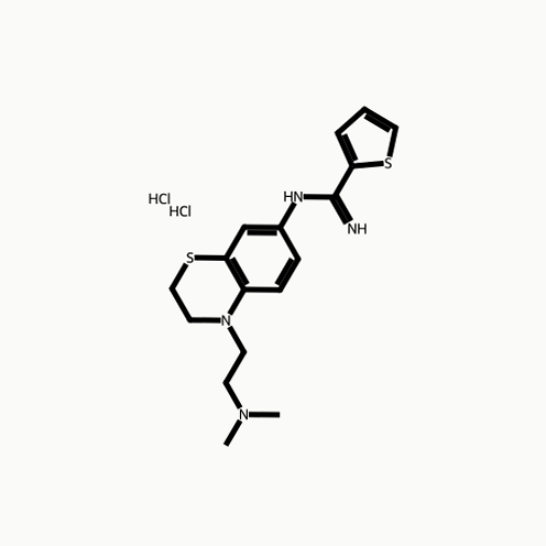 CN(C)CCN1CCSc2cc(NC(=N)c3cccs3)ccc21.Cl.Cl